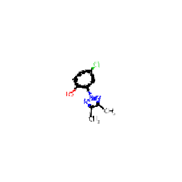 Cc1nn(-c2cc(Cl)ccc2O)nc1C